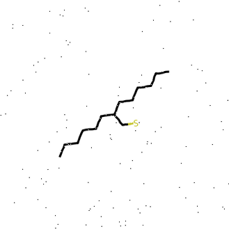 CCCCCCC(C[S])CCCCCC